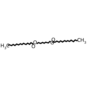 CCCCCCCCCCCCCCC(=O)OCCCCCCCCOC(=O)CCCCCCCCCCCCCC